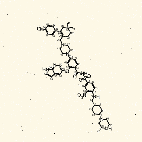 C[C@@H]1CN([C@H]2CC[C@H](CNc3ccc(S(=O)(=O)NC(=O)c4ccc(N5CCN(CC6=C(c7ccc(Cl)cc7)CC(C)(C)CC6)CC5)cc4Oc4cnc5[nH]ccc5c4)cc3[N+](=O)[O-])CC2)CCN1